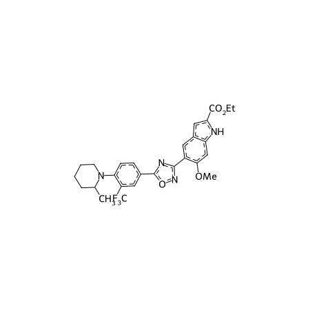 CCOC(=O)c1cc2cc(-c3noc(-c4ccc(N5CCCCC5C)c(C(F)(F)F)c4)n3)c(OC)cc2[nH]1